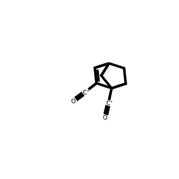 O=[C+]C1=CC2CCC1([C+]=O)C2